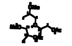 COC(C)COC(C)COC(C)=O.COCC(C)OC(C)=O